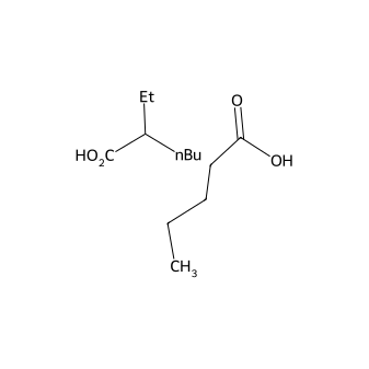 CCCCC(=O)O.CCCCC(CC)C(=O)O